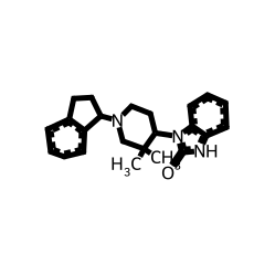 CC1(C)CN(C2CCc3ccccc32)CCC1n1c(=O)[nH]c2ccccc21